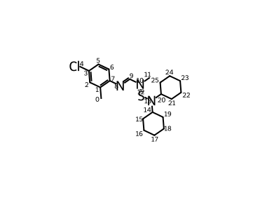 Cc1cc(Cl)ccc1N=CN(C)SN(C1CCCCC1)C1CCCCC1